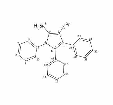 CC(C)C1=C([SiH3])C(c2ccccc2)C(c2ccccc2)=C1c1ccccc1